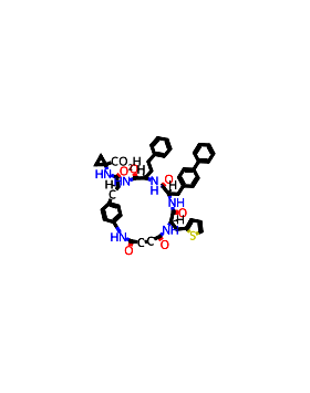 O=C1CCC(=O)N[C@H](Cc2cccs2)C(=O)N[C@@H](Cc2ccc(-c3ccccc3)cc2)C(=O)N[C@H](CCc2ccccc2)C(=O)N[C@H](C(=O)NC2(C(=O)O)CC2)Cc2ccc(cc2)N1